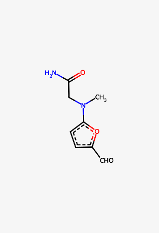 CN(CC(N)=O)c1ccc(C=O)o1